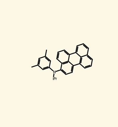 Cc1cc(C)cc(N(c2ccc3c4cccc5cccc(c6cccc2c63)c54)C(C)C)c1